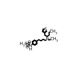 CCCC(Cc1ccsc1)N(CC)CCCCc1ccc(NS(C)(=O)=O)cc1